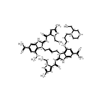 CCn1nc(C)cc1C(=O)/N=c1\[nH]c2cc(C(N)=O)cc(OC)c2n1C/C=C/Cn1/c(=N/C(=O)c2cc(C)nn2CC)[nH]c2cc(C(N)=O)cc(OCCCN3CCOCC3CO)c21